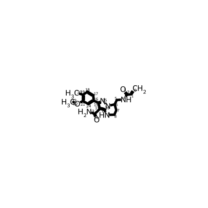 C=CC(=O)NCC1CCNc2c(C(N)=O)c(-c3ccc(C)c(OC)c3)nn21